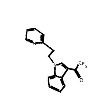 O=C(c1cn(CCc2ccccn2)c2ccccc12)C(F)(F)F